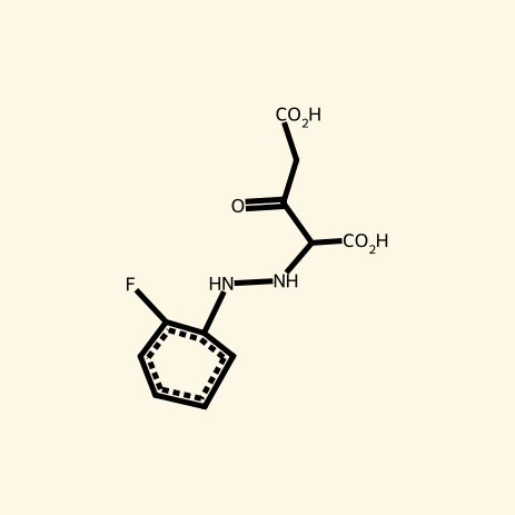 O=C(O)CC(=O)C(NNc1ccccc1F)C(=O)O